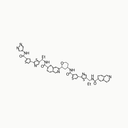 CC[C@@H](NC(=O)c1ccc2cnc(C3CC(NC(=O)c4cc(-c5ncc([C@@H](CC)NC(=O)c6ccc7cnccc7c6)s5)cs4)CCO3)cc2c1)c1cnc(-c2csc(C(=O)Nc3cnn(C)c3)c2)s1